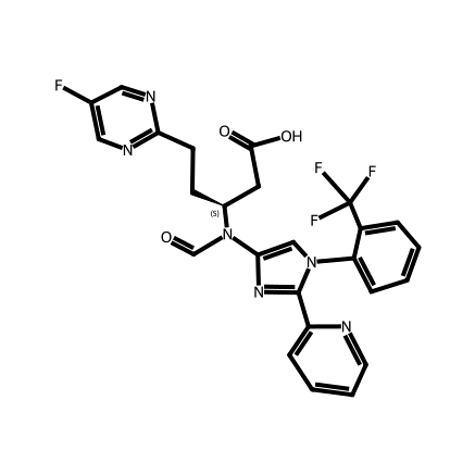 O=CN(c1cn(-c2ccccc2C(F)(F)F)c(-c2ccccn2)n1)[C@@H](CCc1ncc(F)cn1)CC(=O)O